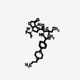 CCCN1CCN(c2ccc(C(=O)N[C@H](C(=O)N3C[C@H](C(F)F)[C@H]4OCC(=O)[C@H]43)C(C)(C)CC)cc2)CC1